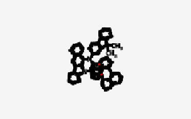 CC1(C)c2ccccc2-c2ccc(N(c3ccc(-c4cccc5cccc(-c6ccccc6)c45)cc3)c3c4ccccc4cc4c5ccccc5n(-c5ccccc5)c34)cc21